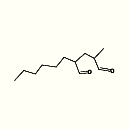 CCCCCCC(C=O)CC(C)C=O